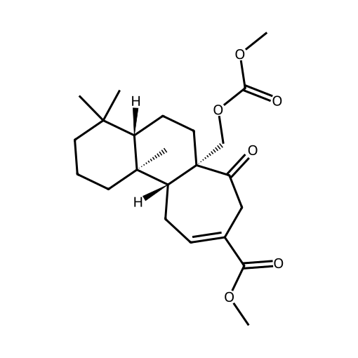 COC(=O)OC[C@@]12CC[C@H]3C(C)(C)CCC[C@]3(C)[C@H]1CC=C(C(=O)OC)CC2=O